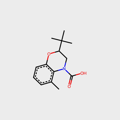 Cc1cccc2c1N(C(=O)O)CC(C(C)(C)C)O2